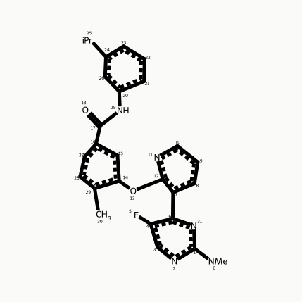 CNc1ncc(F)c(-c2cccnc2Oc2cc(C(=O)Nc3cccc(C(C)C)c3)ccc2C)n1